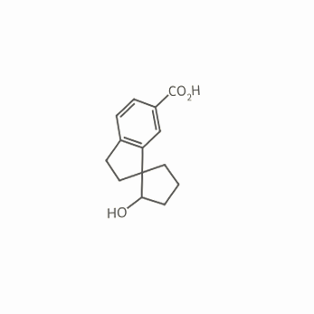 O=C(O)c1ccc2c(c1)C1(CCCC1O)CC2